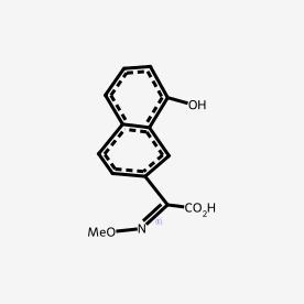 CO/N=C(/C(=O)O)c1ccc2cccc(O)c2c1